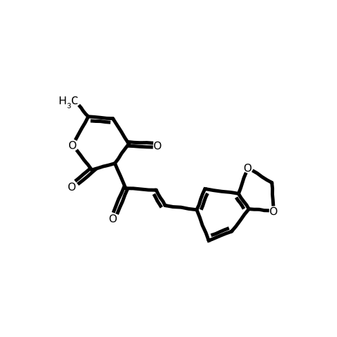 CC1=CC(=O)C(C(=O)C=Cc2ccc3c(c2)OCO3)C(=O)O1